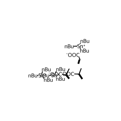 C=C(C)C(=O)[O-].C=C(C)C(=O)[O-].C=CC(=O)[O-].CCC[CH2][Sn+]([CH2]CCC)[CH2]CCC.CCC[CH2][Sn+]([CH2]CCC)[CH2]CCC.CCC[CH2][Sn+]([CH2]CCC)[CH2]CCC